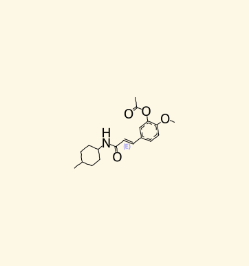 COc1ccc(/C=C/C(=O)NC2CCC(C)CC2)cc1OC(C)=O